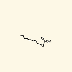 CCCCCCCCC[C@@H]1C[C@H]1C(=O)O